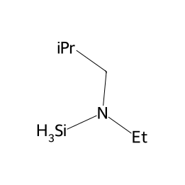 CCN([SiH3])CC(C)C